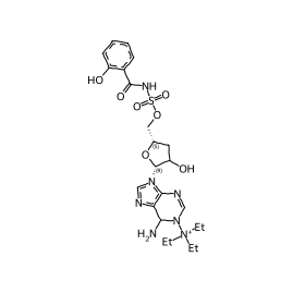 CC[N+](CC)(CC)N1C=Nc2c(ncn2[C@@H]2O[C@H](COS(=O)(=O)NC(=O)c3ccccc3O)CC2O)C1N